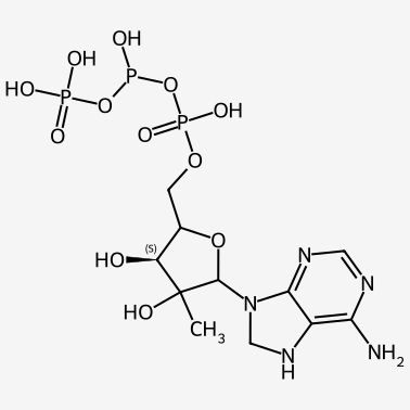 CC1(O)C(N2CNc3c(N)ncnc32)OC(COP(=O)(O)OP(O)OP(=O)(O)O)[C@@H]1O